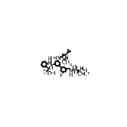 Cn1nc(C2CC2)cc1Nc1cc(C(=O)Nc2ccccc2CC(=O)O)cc(-c2cc(F)cc(CNC(=O)OC(C)(C)C)c2)c1